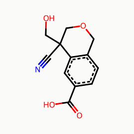 N#CC1(CO)COCc2ccc(C(=O)O)cc21